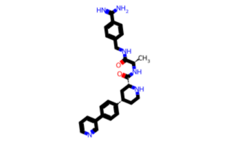 C[C@H](NC(=O)[C@H]1C[C@@H](c2ccc(-c3cccnc3)cc2)CCN1)C(=O)NCc1ccc(C(=N)N)cc1